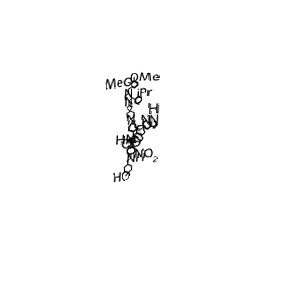 COc1cccc(CN2CCN(C3CC4(CCN(c5ccc(C(=O)NS(=O)(=O)c6ccc(NCC7CCC(C)(O)CC7)c([N+](=O)[O-])c6)c(Oc6cnc7[nH]ccc7c6)c5)CC4)C3)C(c3ccccc3C(C)C)C2)c1OC